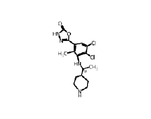 Cc1c(-c2n[nH]c(=O)o2)cc(Cl)c(Cl)c1N[C@@H](C)C1CCNCC1